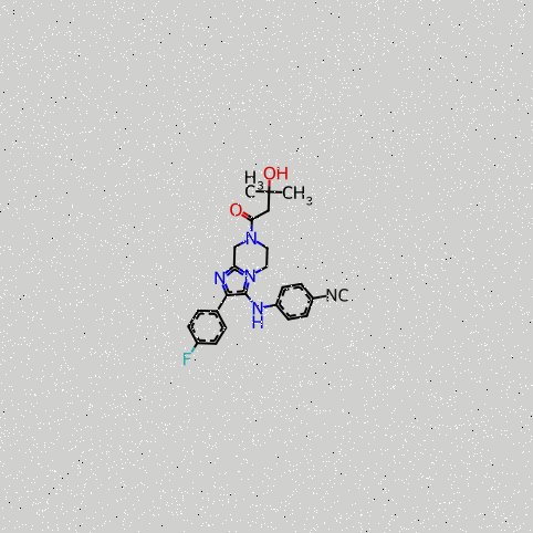 [C-]#[N+]c1ccc(Nc2c(-c3ccc(F)cc3)nc3n2CCN(C(=O)CC(C)(C)O)C3)cc1